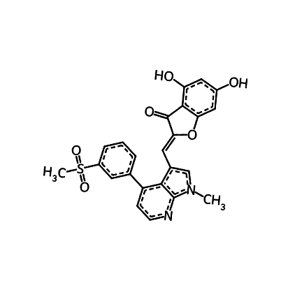 Cn1cc(/C=C2\Oc3cc(O)cc(O)c3C2=O)c2c(-c3cccc(S(C)(=O)=O)c3)ccnc21